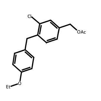 CCOc1ccc(Cc2[c]cc(COC(C)=O)cc2Cl)cc1